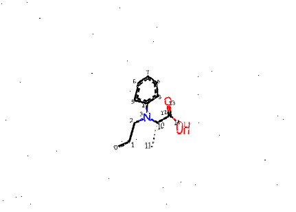 CCCN(c1ccccc1)[C@@H](C)C(=O)O